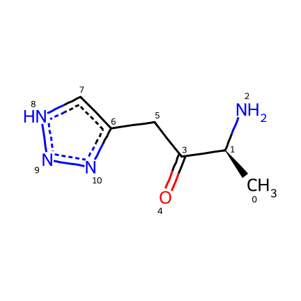 C[C@H](N)C(=O)Cc1c[nH]nn1